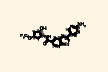 CCc1ncc(C(=O)N[C@H]2C[C@H](OC(F)(F)F)C[C@@H]2O)cc1/C=C(\F)c1cnc(N)nc1